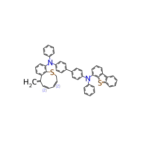 C=C1/C=C\C=C/CSc2c1cccc2N(c1ccccc1)c1ccc(-c2ccc(N(c3ccccc3)c3cccc4c3sc3ccccc34)cc2)cc1